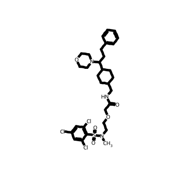 CN(CCOCC(=O)NCC1CCC(C(CCc2ccccc2)N2CCOCC2)CC1)S(=O)(=O)c1c(Cl)cc(Cl)cc1Cl